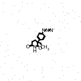 CCC1(c2ccc(N=[N+]=[N-])cc2)CCC(=O)NC1=O